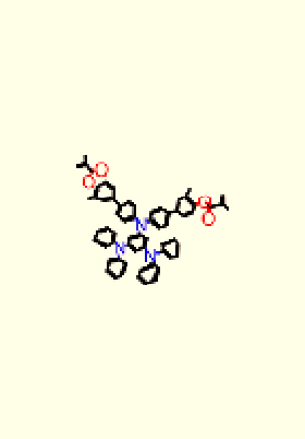 C=C(C)C(=O)Oc1ccc(-c2ccc(N(c3ccc(-c4ccc(OC(=O)C(=C)C)c(C)c4)cc3)c3cc(N(c4ccccc4)c4ccccc4)cc(N(c4ccccc4)c4ccccc4)c3)cc2)cc1C